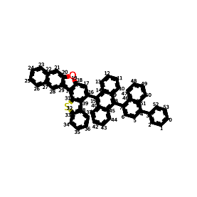 c1ccc(-c2ccc(-c3c4ccccc4c(-c4cc5oc6cc7ccccc7cc6c5c5sc6ccccc6c45)c4ccccc34)c3ccccc23)cc1